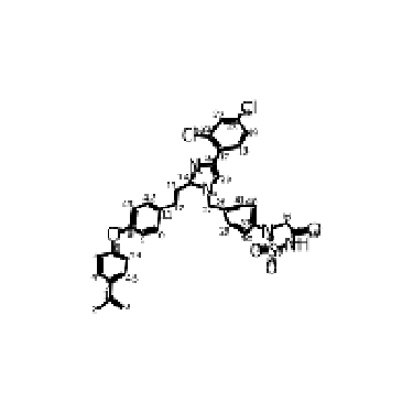 C=C(C)c1ccc(Oc2ccc(/C=C/c3nc(-c4ccc(Cl)cc4Cl)cn3Cc3ccc(N4CC(=O)NS4(=O)=O)cc3)cc2)cc1